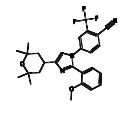 COc1ccccc1-c1nc(C2CC(C)(C)OC(C)(C)C2)cn1-c1ccc(C#N)c(C(F)(F)F)c1